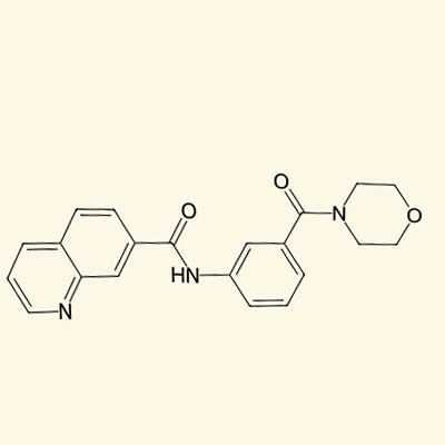 O=C(Nc1cccc(C(=O)N2CCOCC2)c1)c1ccc2cccnc2c1